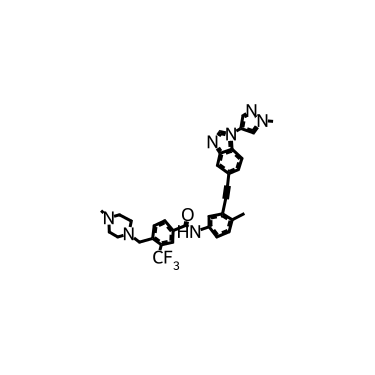 Cc1ccc(NC(=O)c2ccc(CN3CCN(C)CC3)c(C(F)(F)F)c2)cc1C#Cc1ccc2c(c1)ncn2-c1cnn(C)c1